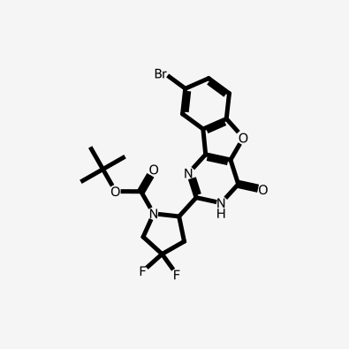 CC(C)(C)OC(=O)N1CC(F)(F)CC1c1nc2c(oc3ccc(Br)cc32)c(=O)[nH]1